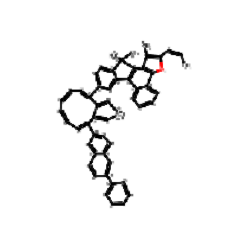 C/C=C\c1oc2c(c1C)c1c(c3ccccc32)-c2cc(-c3ccccccc(-c4ccc5cc(-c6ccccc6)ccc5c4)c(=C/C)/c3=C\C)ccc2C1(C)C